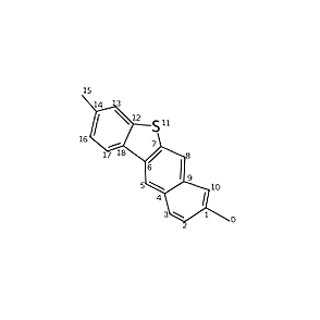 Cc1ccc2cc3c(cc2c1)sc1cc(C)ccc13